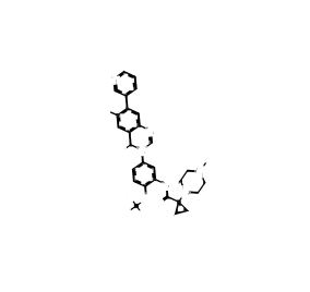 CN1CCN(C2(C(=O)Nc3cc(N4C=Nc5cc(-c6cccnc6)c(F)cc5C4O)ccc3OC(F)(F)F)CC2)CC1